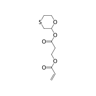 C=CC(=O)OCCC(=O)OC1CSCCO1